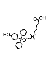 C[N+](C)(CCCCCC(=O)O)CCOC(C1=CCC(O)C=C1)(C1=CC=CCC1)C1C=CC=CC1